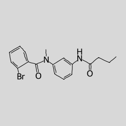 CCCC(=O)Nc1cccc(N(C)C(=O)c2ccccc2Br)c1